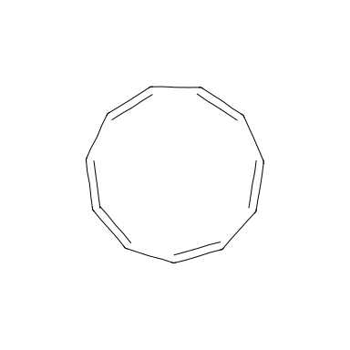 C1=CC=CC=CC=CC=CC=1